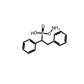 NOP(=O)(O)C(Cc1ccccc1)c1ccccc1